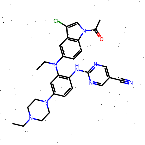 CCN1CCN(c2ccc(Nc3ncc(C#N)cn3)c(N(CC)c3ccc4c(c3)c(Cl)cn4C(C)=O)c2)CC1